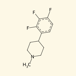 CN1CCC(c2ccc(F)c(F)c2F)CC1